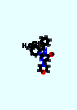 CC1(C)CCCN(c2nc(N3CCOCC3)cc(=O)[nH]2)[C@@H](Cc2ccccc2)C1